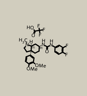 COc1ccc([C@@]23CC[C@@H](NC(=O)Nc4ccc(F)c(F)c4)C[C@@H]2N(C)CC3)cc1OC.O=C(O)C(F)(F)F